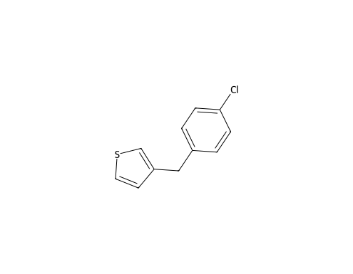 Clc1ccc(Cc2ccsc2)cc1